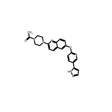 CC(=O)N1CCN(c2ccc3cc(Oc4ccc(-c5ccn[nH]5)cn4)ccc3n2)CC1